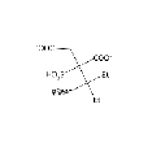 CCCCCC(CC)(CC)C(CC(=O)[O-])(C(=O)[O-])S(=O)(=O)O.[Ca+2]